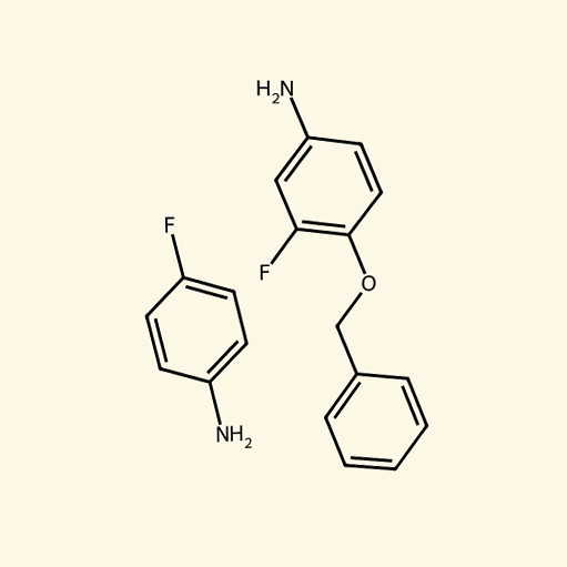 Nc1ccc(F)cc1.Nc1ccc(OCc2ccccc2)c(F)c1